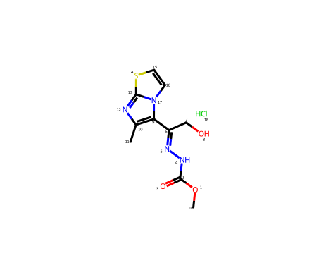 COC(=O)NN=C(CO)c1c(C)nc2sccn12.Cl